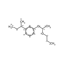 CCCOC(C)Oc1cccc(C(C)CC)c1